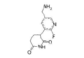 NCc1cnc(F)c(C2CCC(=O)NC2=O)c1